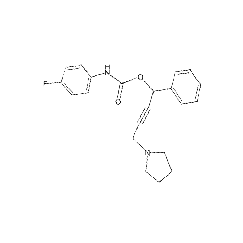 O=C(Nc1ccc(F)cc1)OC(C#CCN1CCCC1)c1ccccc1